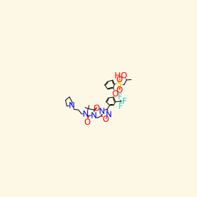 CC(O)CS(=O)(=O)c1ccccc1Oc1ccc(-c2noc(CN3C(=O)N(CCCN4CCCC4)C(C)(C)C3=O)n2)cc1C(F)(F)F